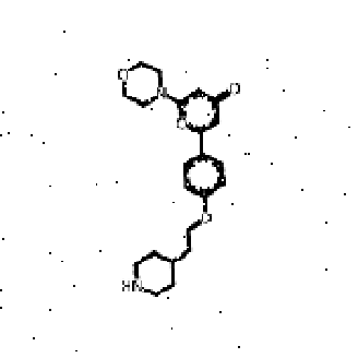 O=c1cc(-c2ccc(OCCC3CCNCC3)cc2)oc(N2CCOCC2)c1